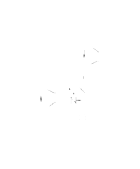 OCc1cc(OCc2ccccc2)n(Cc2ccccc2)n1